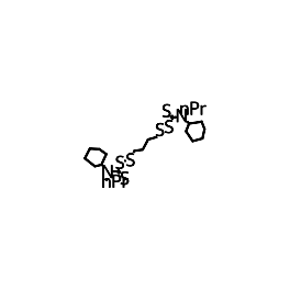 CCCN(C(=S)SSCCCCSSC(=S)N(CCC)C1CCCCC1)C1CCCCC1